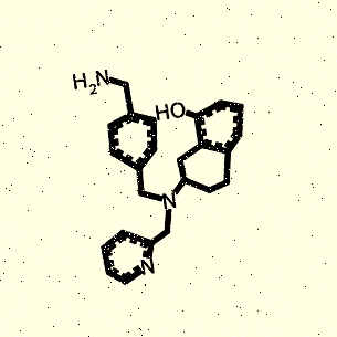 NCc1ccc(CN(Cc2ccccn2)C2CCc3cccc(O)c3C2)cc1